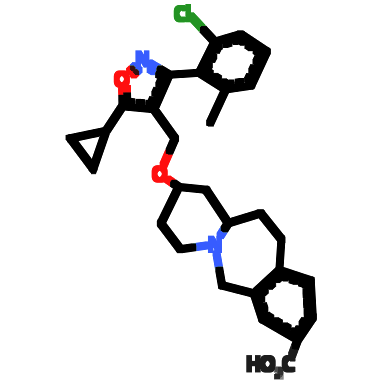 Cc1cccc(Cl)c1-c1noc(C2CC2)c1COC1CCN2Cc3cc(C(=O)O)ccc3CCC2C1